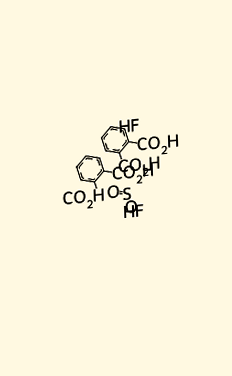 F.F.O=C(O)c1ccccc1C(=O)O.O=C(O)c1ccccc1C(=O)O.O=S=O